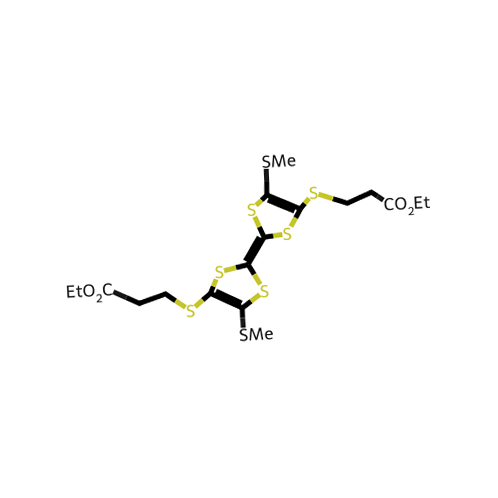 CCOC(=O)CCSC1=C(SC)S/C(=C2/SC(SC)=C(SCCC(=O)OCC)S2)S1